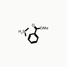 COC(=O)c1ccccc1.C[SiH2]C